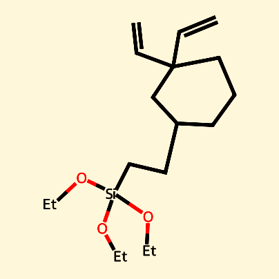 C=CC1(C=C)CCCC(CC[Si](OCC)(OCC)OCC)C1